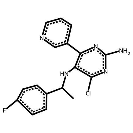 CC(Nc1c(Cl)nc(N)nc1-c1cccnc1)c1ccc(F)cc1